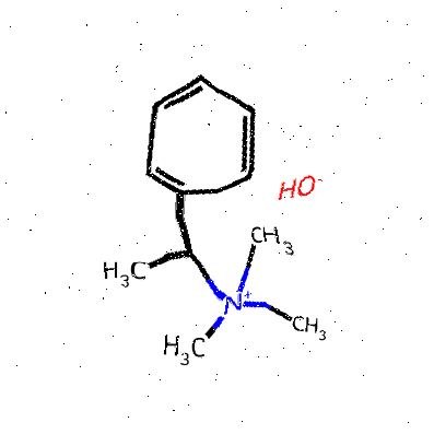 CC(c1ccccc1)[N+](C)(C)C.[OH-]